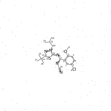 COc1ccc(Cl)cc1C(/N=c1\sc(C(C)(C)C)nn1CC(C)C)=N\C#N